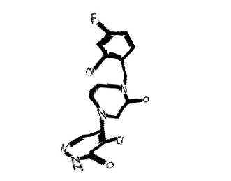 O=C1CN(c2cn[nH]c(=O)c2Cl)CCN1Cc1ccc(F)cc1Cl